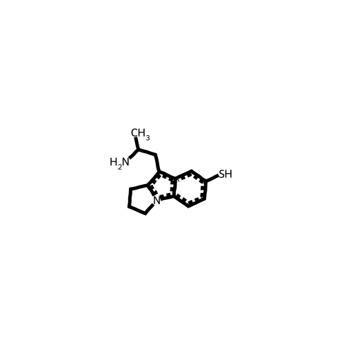 CC(N)Cc1c2n(c3ccc(S)cc13)CCC2